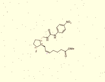 COC(=O)CCC/C=C\C[C@@H]1[C@@H](CNC(=O)Nc2ccc([N+](=O)[O-])cc2)CC[C@H]1F